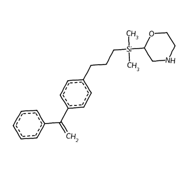 C=C(c1ccccc1)c1ccc(CCC[Si](C)(C)C2CNCCO2)cc1